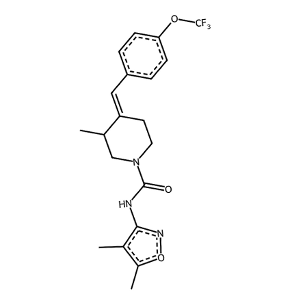 Cc1onc(NC(=O)N2CC/C(=C\c3ccc(OC(F)(F)F)cc3)C(C)C2)c1C